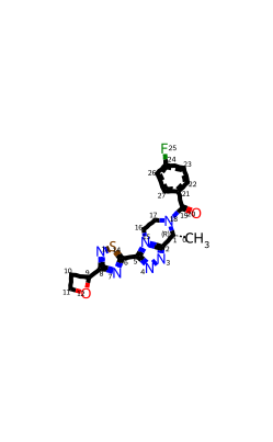 C[C@@H]1c2nnc(-c3nc(C4CCO4)ns3)n2CCN1C(=O)c1ccc(F)cc1